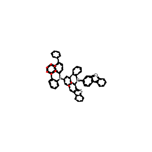 c1ccc(-c2ccccc2N(c2cccc(-c3ccccc3N(c3ccc4c(c3)oc3ccccc34)c3cccc4c3sc3ccccc34)c2)c2ccc(-c3ccccc3)c3ccccc23)cc1